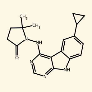 CC1(C)CCC(=O)N1Nc1ncnc2[nH]c3ccc(C4CC4)cc3c12